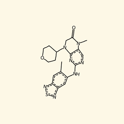 Cc1cc2nsnc2cc1Nc1ncc2c(n1)N(C1CCOCC1)CC(=O)N2C